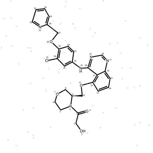 O=C(CO)N1CCOC[C@H]1COc1cccc2ncnc(Nc3ccc(OCc4ccccn4)c(Cl)c3)c12